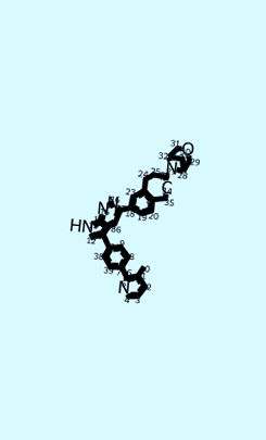 Cc1cccnc1-c1ccc(-c2c[nH]c3nnc(-c4ccc5c(c4)CC[C@@H](N4C6COCC4C6)CC5)cc23)cc1